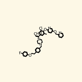 Cc1cc(/C(=C\C=O)N2CCN(Cc3ccc(CCOc4ccc(F)cc4)cc3)CC2)cc(Cl)c1Oc1ccc(OCc2ccccn2)cn1